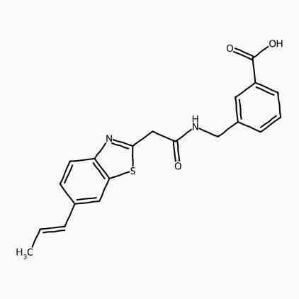 C/C=C/c1ccc2nc(CC(=O)NCc3cccc(C(=O)O)c3)sc2c1